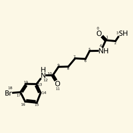 O=C(CS)NCCCCCC(=O)Nc1cccc(Br)c1